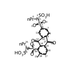 CCCN(S(=O)(=O)O)S(=O)(=O)c1ccc2c(c1)C(=O)c1c(ccc(C)c1S(=O)(=O)N(CCC)S(=O)(=O)O)C2=O